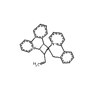 C=CC1C2C(c3ccccc3-c3cccc[n+]32)C12Cc1ccccc1-c1cccc[n+]12